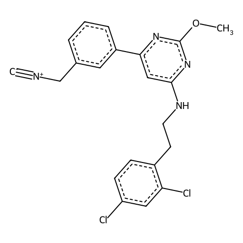 [C-]#[N+]Cc1cccc(-c2cc(NCCc3ccc(Cl)cc3Cl)nc(OC)n2)c1